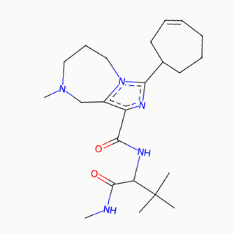 CNC(=O)C(NC(=O)c1nc(C2CC=CCCC2)n2c1CN(C)CCC2)C(C)(C)C